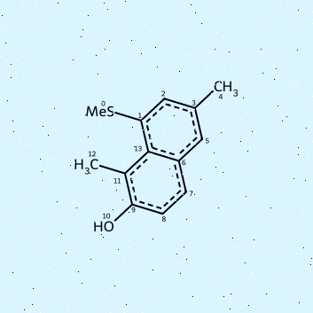 CSc1cc(C)cc2ccc(O)c(C)c12